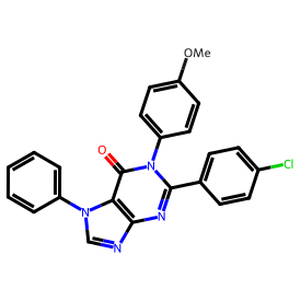 COc1ccc(-n2c(-c3ccc(Cl)cc3)nc3ncn(-c4ccccc4)c3c2=O)cc1